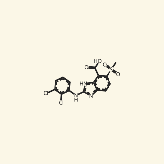 CS(=O)(=O)c1ccc2nc(Nc3cccc(Cl)c3Cl)[nH]c2c1C(=O)O